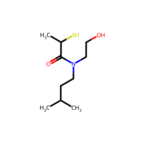 CC(C)CCN(CCO)C(=O)C(C)S